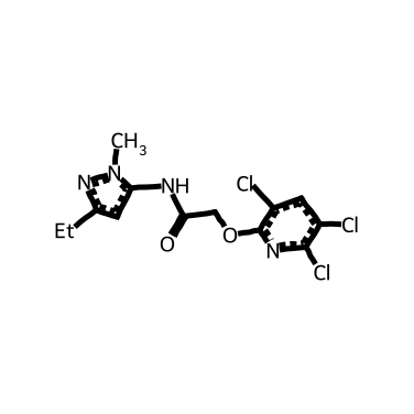 CCc1cc(NC(=O)COc2nc(Cl)c(Cl)cc2Cl)n(C)n1